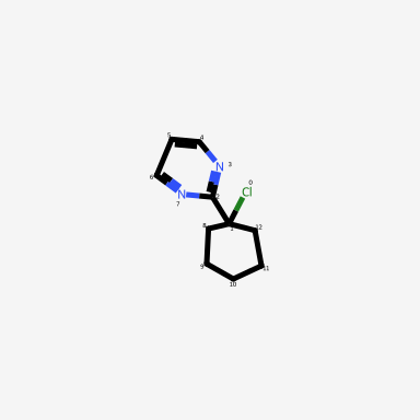 ClC1(c2ncccn2)CCCCC1